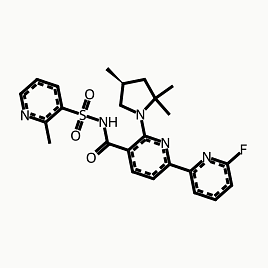 Cc1ncccc1S(=O)(=O)NC(=O)c1ccc(-c2cccc(F)n2)nc1N1C[C@@H](C)CC1(C)C